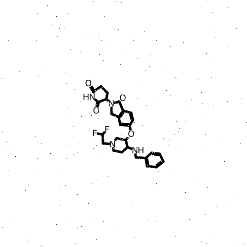 O=C1CCC(N2Cc3cc(OC4CN(CC(F)F)CCC4NCc4ccccc4)ccc3C2=O)C(=O)N1